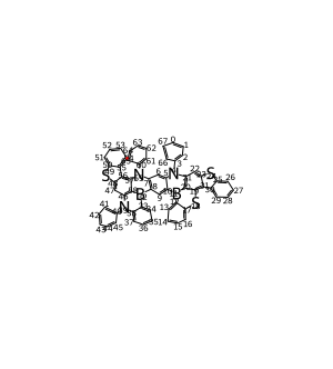 c1ccc(N2c3cc4c(cc3B3c5ccccc5Sc5c3c2cc2sc3ccccc3c52)B2c3ccccc3N(c3ccccc3)c3cc5sc6ccccc6c5c(c32)N4c2ccccc2)cc1